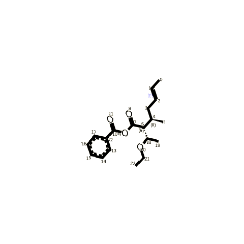 C/C=C/C[C@@H](C)[C@@H](C(=O)OC(=O)c1ccccc1)C(C)OCC